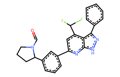 O=CN1CCCC1c1cccc(-c2cc(C(F)F)c3c(-c4ccccc4)n[nH]c3n2)c1